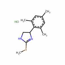 CSC1=NC(c2c(C)cc(C)cc2C)CN1.Cl